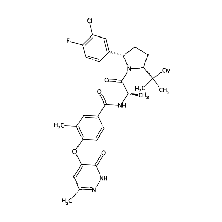 Cc1cc(Oc2ccc(C(=O)N[C@H](C)C(=O)N3C(C(C)(C)C#N)CC[C@H]3c3ccc(F)c(Cl)c3)cc2C)c(=O)[nH]n1